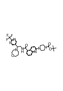 CC(C)(C)OC(=O)N1CCN(c2ccc3c(C(=O)NCC(c4cnc(C(F)(F)F)nc4)N4CCCOCC4)cccc3n2)CC1